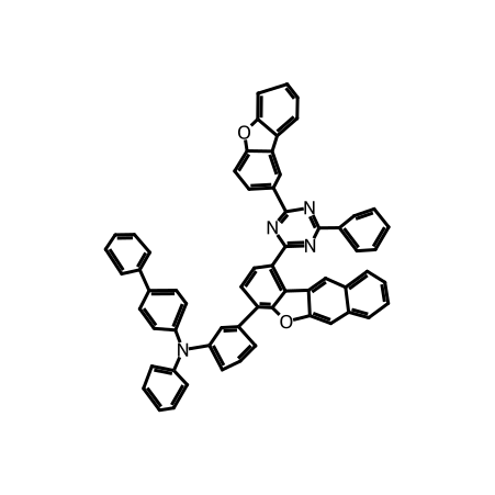 c1ccc(-c2ccc(N(c3ccccc3)c3cccc(-c4ccc(-c5nc(-c6ccccc6)nc(-c6ccc7oc8ccccc8c7c6)n5)c5c4oc4cc6ccccc6cc45)c3)cc2)cc1